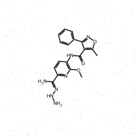 COc1nc(/C(N)=N/NN)ccc1NC(=O)c1c(-c2ccccc2)noc1C